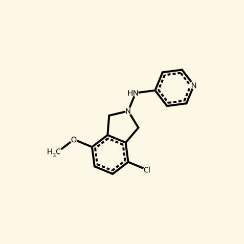 COc1ccc(Cl)c2c1CN(Nc1ccncc1)C2